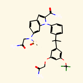 CC(C)(c1cc(OCC(N)=O)cc(OC(F)(F)F)c1)c1cccc(-n2c(C(N)=O)cc3ccc(N(CC(N)=O)S(C)(=O)=O)cc32)c1